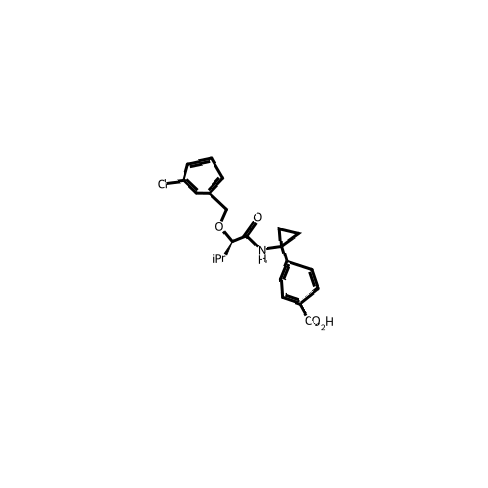 CC(C)[C@@H](OCc1cccc(Cl)c1)C(=O)NC1(c2ccc(C(=O)O)cc2)CC1